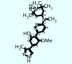 COc1cc(-c2c[nH]nc2C)cc(O)c1-c1ccc(N(C)C2CC(C)(C)NC(C)(C)C2)nn1